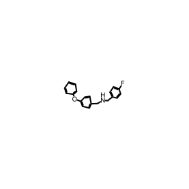 Fc1ccc(CNCc2ccc(Oc3ccccc3)cc2)cc1